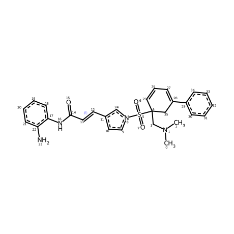 CN(C)CC1(S(=O)(=O)n2ccc(/C=C/C(=O)Nc3ccccc3N)c2)C=CC=C(c2ccccc2)C1